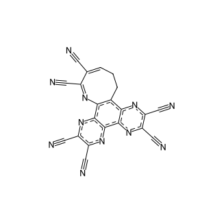 N#CC1=C/CCc2c(c3nc(C#N)c(C#N)nc3c3nc(C#N)c(C#N)nc23)/N=C\1C#N